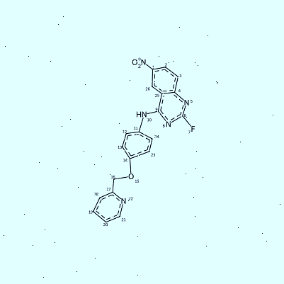 O=[N+]([O-])c1ccc2nc(F)nc(Nc3ccc(OCc4ccccn4)cc3)c2c1